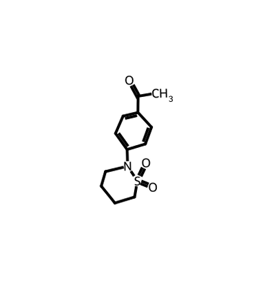 CC(=O)c1ccc(N2CCCCS2(=O)=O)cc1